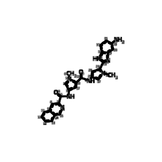 Cn1cc(NC(=O)c2cc3ccccc3cn2)cc1C(=O)Nc1cc(-c2nc3cc(N)ccc3[nH]2)n(C)c1